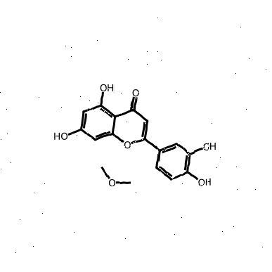 COC.O=c1cc(-c2ccc(O)c(O)c2)oc2cc(O)cc(O)c12